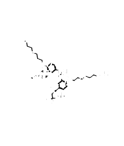 CCCCCCCCOc1ccc(NS(=O)(=O)c2cc(C(C)(C)CC(C)(C)C)ccc2OCCCCCCCC)cc1S(=O)(=O)NCCC